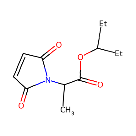 CCC(CC)OC(=O)C(C)N1C(=O)C=CC1=O